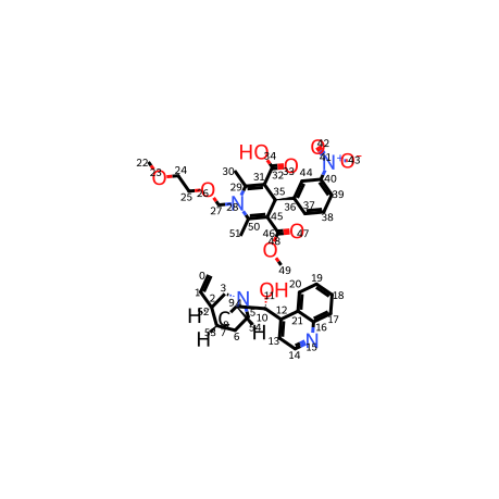 C=C[C@H]1C[N@]2CC[C@H]1C[C@H]2[C@H](O)c1ccnc2ccccc12.COCCOCN1C(C)=C(C(=O)O)[C@@H](c2cccc([N+](=O)[O-])c2)C(C(=O)OC)=C1C